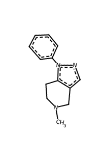 CN1CCc2c(cnn2-c2ccccc2)C1